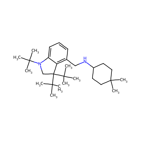 CC1(C)CCC(NCc2cccc3c2C(C(C)(C)C)(C(C)(C)C)CN3C(C)(C)C)CC1